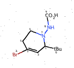 CC(C)(C)C1C=C(Br)CCN1NC(=O)O